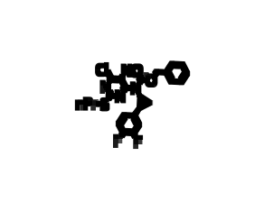 CCCSc1nc(Cl)c([N+](=O)[O-])c(N(C(=O)OCc2ccccc2)[C@@H]2C[C@H]2c2ccc(F)c(F)c2)n1